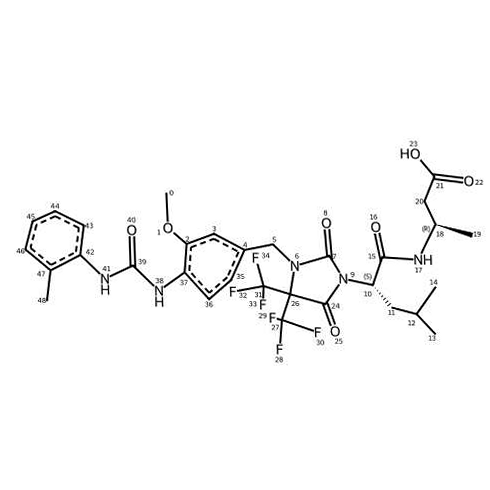 COc1cc(CN2C(=O)N([C@@H](CC(C)C)C(=O)N[C@H](C)CC(=O)O)C(=O)C2(C(F)(F)F)C(F)(F)F)ccc1NC(=O)Nc1ccccc1C